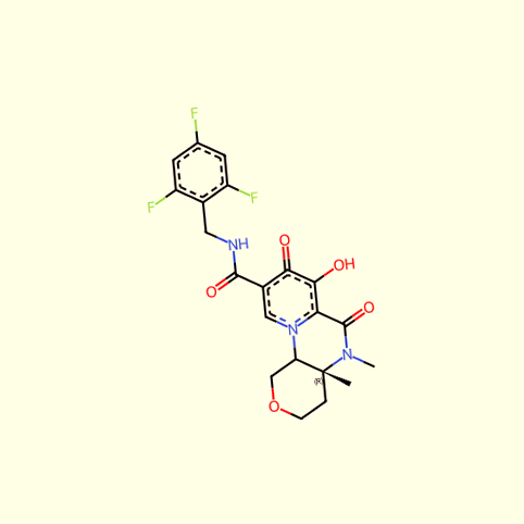 CN1C(=O)c2c(O)c(=O)c(C(=O)NCc3c(F)cc(F)cc3F)cn2C2COCC[C@]21C